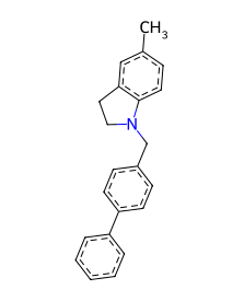 Cc1ccc2c(c1)CCN2Cc1ccc(-c2ccccc2)cc1